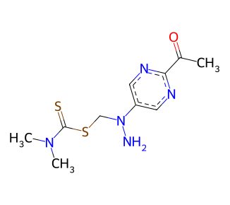 CC(=O)c1ncc(N(N)CSC(=S)N(C)C)cn1